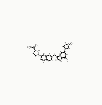 CN(C)C1CCN(c2cnc3ccc(Sc4nnc5c(F)cc(-c6cnn(C)c6)cn45)cc3c2)C1